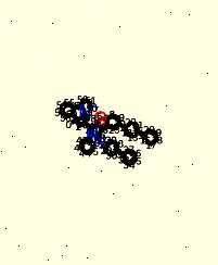 CC12C=C(C3c4oc5ccc(C6C=CC(C7=CCCC=C7)=CC6)cc5c4C4N(c5ccc(-c6ccccc6)cc5)C5=C(C=CCC5)N34)C1(C)[N+]1=CC=CC1C1C=CC=CC12